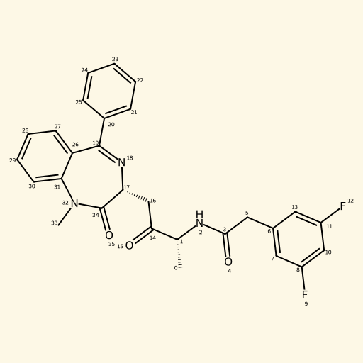 C[C@@H](NC(=O)Cc1cc(F)cc(F)c1)C(=O)C[C@H]1N=C(c2ccccc2)c2ccccc2N(C)C1=O